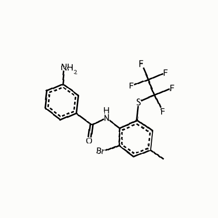 Cc1cc(Br)c(NC(=O)c2cccc(N)c2)c(SC(F)(F)C(F)(F)F)c1